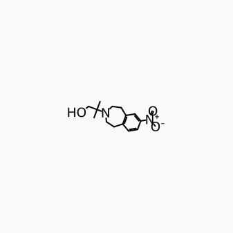 CC(C)(CO)N1CCc2ccc([N+](=O)[O-])cc2CC1